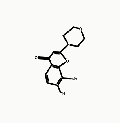 CCCc1c(O)ccc2c(=O)cc(N3CCOCC3)oc12